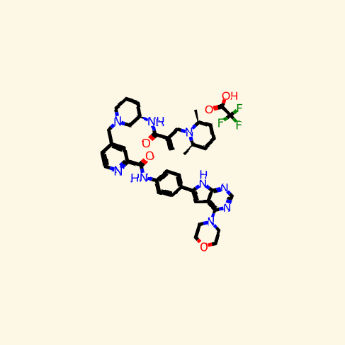 C=C(CN1[C@H](C)CCC[C@@H]1C)C(=O)N[C@@H]1CCCN(Cc2ccnc(C(=O)Nc3ccc(-c4cc5c(N6CCOCC6)ncnc5[nH]4)cc3)c2)C1.O=C(O)C(F)(F)F